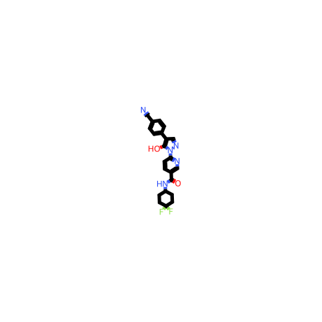 N#Cc1ccc(-c2cnn(-c3ccc(C(=O)NC4CCC(F)(F)CC4)cn3)c2O)cc1